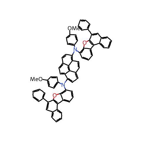 COc1ccc(N(c2ccc3ccc4c(N(c5ccc(OC)cc5)c5cccc6c5oc5c(-c7ccccc7)cc7ccccc7c56)ccc5ccc2c3c54)c2cccc3c2oc2c(-c4ccccc4)cc4ccccc4c23)cc1